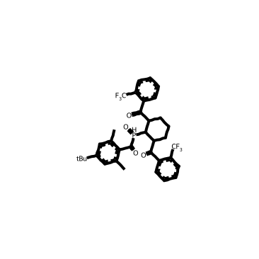 Cc1cc(C(C)(C)C)cc(C)c1C(=O)[PH](=O)C1C(C(=O)c2ccccc2C(F)(F)F)CCCC1C(=O)c1ccccc1C(F)(F)F